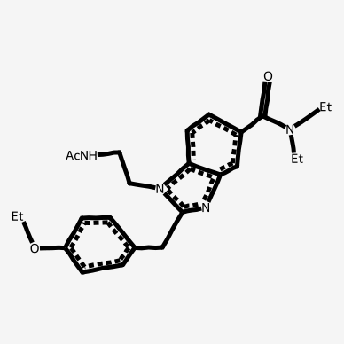 CCOc1ccc(Cc2nc3cc(C(=O)N(CC)CC)ccc3n2CCNC(C)=O)cc1